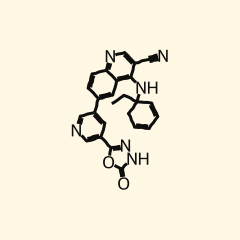 CCC1(Nc2c(C#N)cnc3ccc(-c4cncc(-c5n[nH]c(=O)o5)c4)cc23)C=CC=CC1